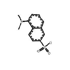 CN(C)c1cccc2cc(S(=O)(=O)Cl)ccc12